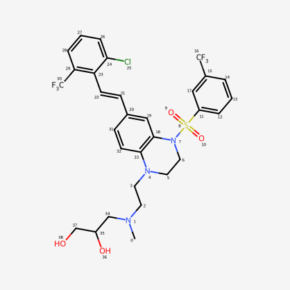 CN(CCN1CCN(S(=O)(=O)c2cccc(C(F)(F)F)c2)c2cc(/C=C/c3c(Cl)cccc3C(F)(F)F)ccc21)CC(O)CO